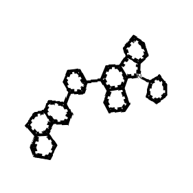 c1ccc(-n2c3ccccc3c3cc(-c4cccc(-c5ccc6c(ccc7ccccc76)c5)c4)c4ccccc4c32)cc1